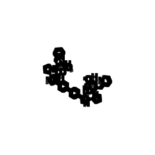 COC(=O)N[C@@H](Cc1ccccn1)C(=O)N1CCC[C@H]1c1ncc(-c2ccc(-c3ccc(-c4cnc([C@@H]5CCCN5C(=O)[C@H](Cc5ccccn5)NC(=O)OC)[nH]4)cc3)cc2)[nH]1